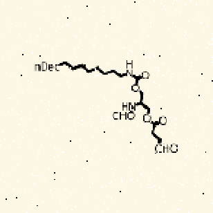 CCCCCCCCCCCCCCCCCCNC(=O)OCC(COC(=O)CCC=O)NC=O